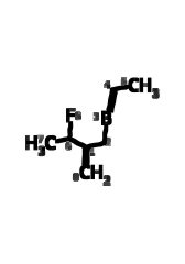 C=C(C/B=C\C)C(C)F